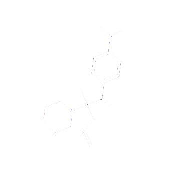 C=CCC(C)(C(=O)c1ccc(N(CC)CC)cc1)N1CCOCC1